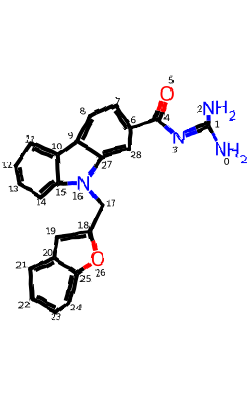 NC(N)=NC(=O)c1ccc2c3ccccc3n(Cc3cc4ccccc4o3)c2c1